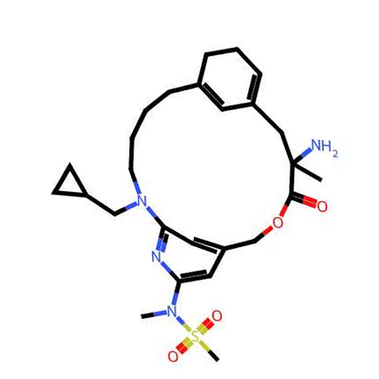 CN(c1cc2cc(n1)N(CC1CC1)CCCCC1=CC(=CCC1)CC(C)(N)C(=O)OC2)S(C)(=O)=O